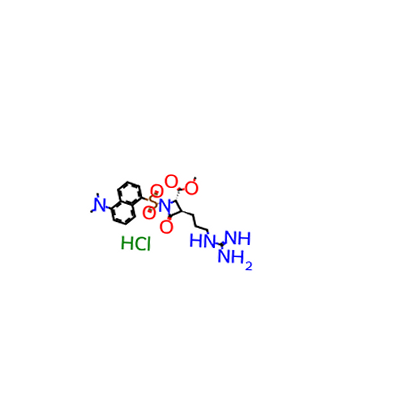 COC(=O)[C@@H]1[C@@H](CCCNC(=N)N)C(=O)N1S(=O)(=O)c1cccc2c(N(C)C)cccc12.Cl